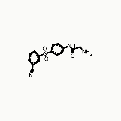 N#Cc1cccc(S(=O)(=O)c2ccc(NC(=O)CN)cc2)c1